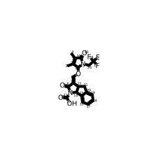 CC1=C(C)C(OC=C2C(=O)N(C(=O)O)C3c4ccccc4CC23)N(CC(F)(F)F)C1=O